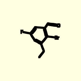 CCc1cc(F)cc(C=O)c1Br